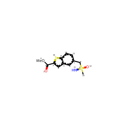 COC(=O)c1cc2cc(CS(C)(=N)=O)ccc2s1